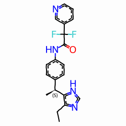 CCc1nc[nH]c1[C@@H](C)c1ccc(NC(=O)C(F)(F)c2cccnc2)cc1